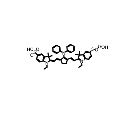 CCN1/C(=C/C=C2\CCC(/C=C/C3=[N+](CC)c4ccc(SOOO)cc4C3(C)C)=C2N(c2ccccc2)c2ccccc2)C(C)(C)c2cc(S(=O)(=O)O)ccc21